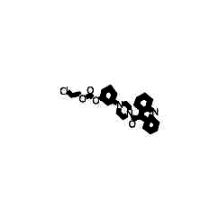 O=C(OCCCl)Oc1cccc(N2CCN(C(=O)c3c4ccccc4nc4ccccc34)CC2)c1